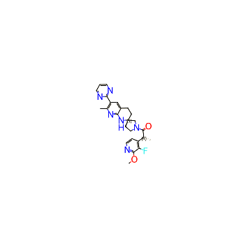 COc1nccc([C@@H](C)C(=O)N2CC[C@@]3(CCc4cc(-c5ncccn5)c(C)nc4N3)C2)c1F